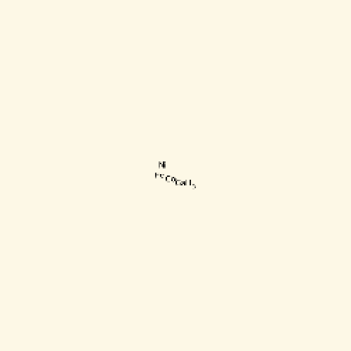 [Co].[Fe].[GaH3].[Ni]